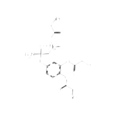 CC(C)CC(=O)Oc1ccc(CC(N)(C[C@H](C)OC(=O)CC(C)C)C(=O)O)cc1OC(=O)CC(C)C